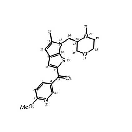 COc1ccc(C(=O)c2cc3cc(C)n(C[C@@H]4COCCN4C)c3s2)cn1